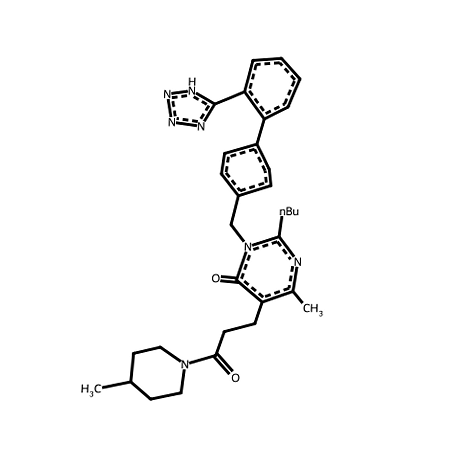 CCCCc1nc(C)c(CCC(=O)N2CCC(C)CC2)c(=O)n1Cc1ccc(-c2ccccc2-c2nnn[nH]2)cc1